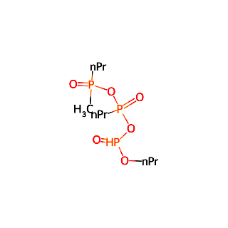 CCCO[PH](=O)OP(=O)(CCC)OP(C)(=O)CCC